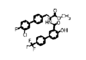 COC(=O)[C@H](Cc1ccc(-c2ccc(F)c(Cl)c2)cc1)NC(=O)c1cc(-c2ccc(C(F)(F)F)cc2)ccc1O